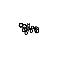 COC(=O)[C@](C)(NC(=O)OC1C2CC3CC(C2)CC1C3)c1ccc2ccccc2n1